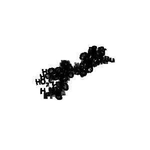 CC[C@H](C)[C@@H]([C@@H](CC(=O)N1CCC[C@H]1[C@H](OC)[C@@H](C)C(=O)N[C@H](C)[C@@H](OC(=O)c1ccc(NC(=O)[C@H](C)NC(=O)[C@@H](N)C(C)C)cc1O[C@@H]1O[C@H](C(=O)O)[C@@H](O)[C@H](O)[C@H]1O)c1ccccc1)OC)N(C)C(=O)[C@@H](NC(=O)[C@H](C(C)C)N(C)C(=O)OC(C)(C)C)C(C)C